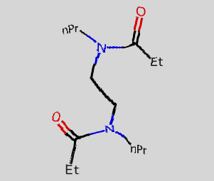 CCCN(CCN(CCC)C(=O)CC)C(=O)CC